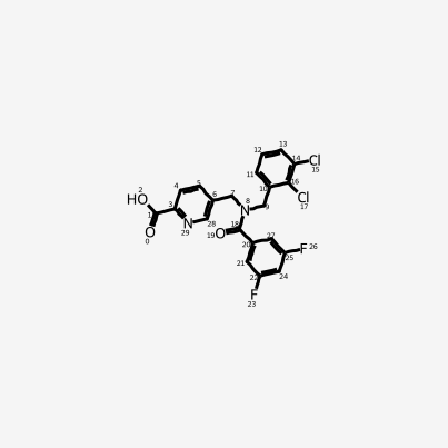 O=C(O)c1ccc(CN(Cc2cccc(Cl)c2Cl)C(=O)c2cc(F)cc(F)c2)cn1